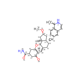 C=C1NC=Cc2ccc([C@H]3[C@H](OC)C[C@H]4[C@@H]5OC6=C(C=C5CC[C@@]43C)C(=O)CC(C(N)=O)C6)cc21